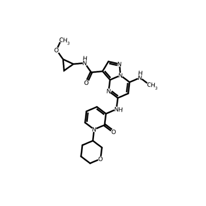 CNc1cc(Nc2cccn(C3CCCOC3)c2=O)nc2c(C(=O)NC3CC3OC)cnn12